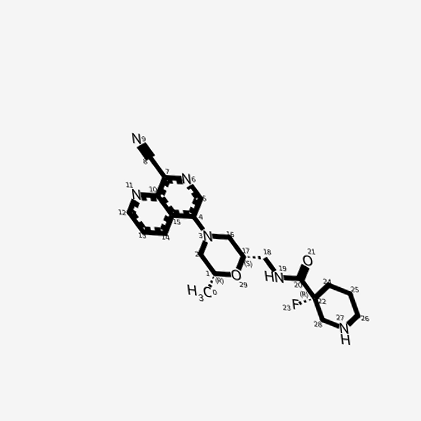 C[C@@H]1CN(c2cnc(C#N)c3ncccc23)C[C@H](CNC(=O)[C@@]2(F)CCCNC2)O1